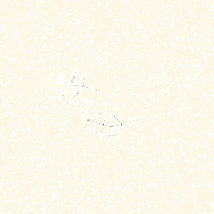 O=C(OCC12CCC3CCC(O)(CC3C1)C2)C(F)(F)S(=O)(=O)O